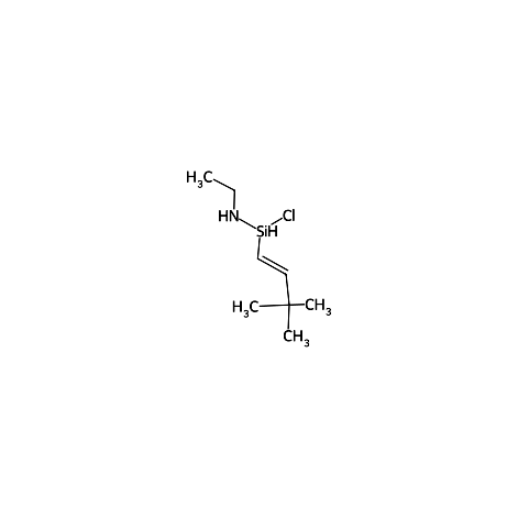 CCN[SiH](Cl)C=CC(C)(C)C